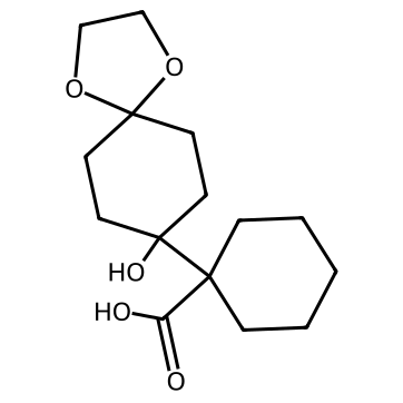 O=C(O)C1(C2(O)CCC3(CC2)OCCO3)CCCCC1